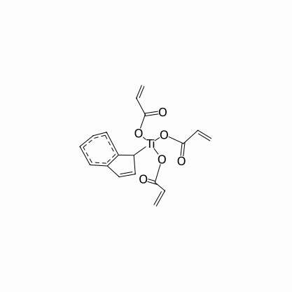 C=CC(=O)[O][Ti]([O]C(=O)C=C)([O]C(=O)C=C)[CH]1C=Cc2ccccc21